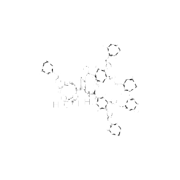 CC1(C)OC[C@H](OCc2ccccc2)O[C@H](CNC(=O)c2ccc(OCc3ccccc3)c(OCc3ccccc3)c2)[C@H](CNC(=O)c2ccc(OCc3ccccc3)c(OCc3ccccc3)c2)O1